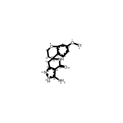 CCOc1ccc2c(c1)OCC[C@@]21Cc2n[nH]c(N)c2C(=O)N1